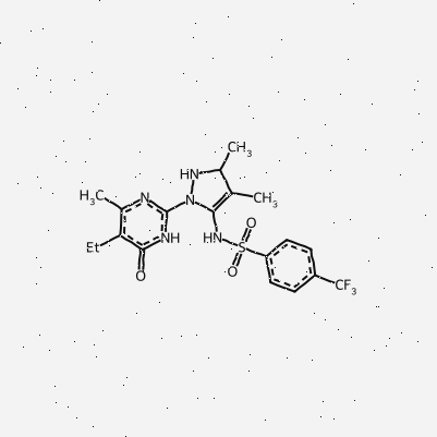 CCc1c(C)nc(N2NC(C)C(C)=C2NS(=O)(=O)c2ccc(C(F)(F)F)cc2)[nH]c1=O